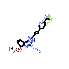 COc1cccc2c1nc(N)n1nc(C3CC(c4ccc([C@@H](N)C(F)(F)F)nc4)C3)nc21